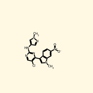 Cn1cc(Nc2ncc(Cl)c(-c3cn(C)c4cc([N+](=O)[O-])ccc34)n2)cn1